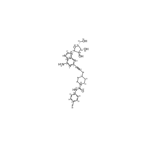 Nc1nc(C#CCC2CCN(C(=O)Nc3ccc(F)cc3)CC2)nc2c1ncn2[C@@H]1O[C@H](CO)[C@H](O)C1O